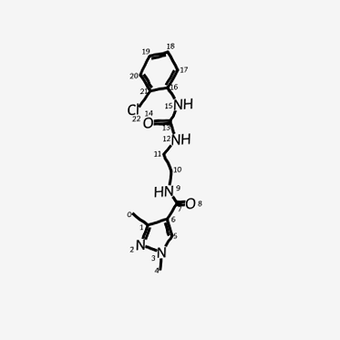 Cc1nn(C)cc1C(=O)NCCNC(=O)Nc1ccccc1Cl